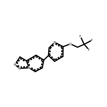 FC(F)(F)COc1ccc(-c2ccn3nncc3c2)cn1